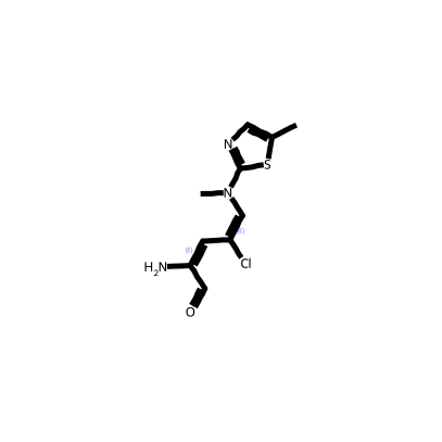 Cc1cnc(N(C)/C=C(Cl)\C=C(\N)C=O)s1